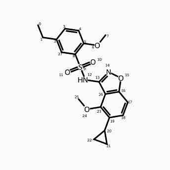 CCc1ccc(OC)c(S(=O)(=O)Nc2noc3ccc(C4CC4)c(OC)c23)c1